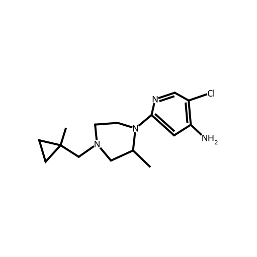 CC1CN(CC2(C)CC2)CCN1c1cc(N)c(Cl)cn1